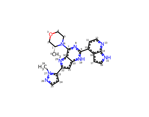 C[C@@H]1COCCN1c1nc(-c2ccnc3[nH]ccc23)[nH]c2cc(-c3ccnn3C)nc1-2